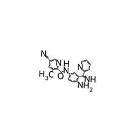 Cc1cc(C#N)cnc1C(=O)Nc1ccc(N)c(C(=N)c2ccccn2)c1